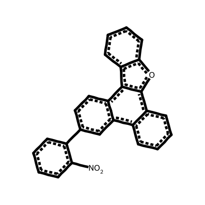 O=[N+]([O-])c1ccccc1-c1ccc2c(c1)c1ccccc1c1oc3ccccc3c21